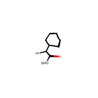 COC(=O)C(C(C)C)C1CCCCC1